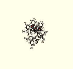 CSN1c2cc3c(cc2B2c4cc5c(cc4Oc4cc(C)cc1c42)N(SC)c1cc(C)cc2c1B5c1sc4ccccc4c1N2c1ccccc1)B1c2sc4ccccc4c2N(c2ccccc2)c2cc(C)cc(c21)N3